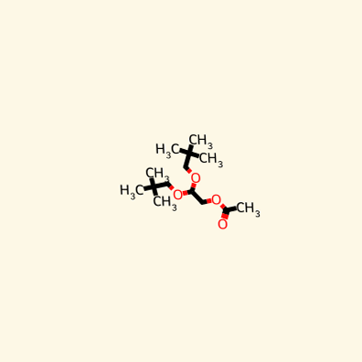 CC(=O)OCC(OCC(C)(C)C)OCC(C)(C)C